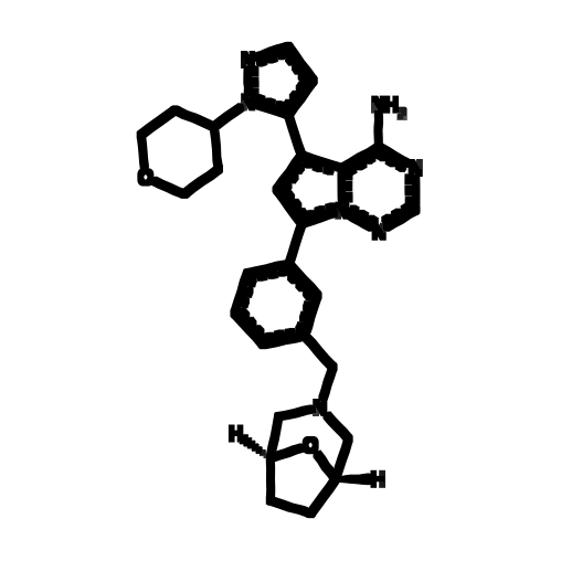 Nc1ncnn2c(-c3cccc(CN4C[C@@H]5CC[C@@H](C4)O5)c3)cc(-c3ccnn3C3CCOCC3)c12